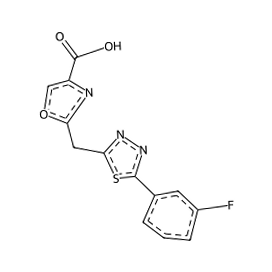 O=C(O)c1coc(Cc2nnc(-c3cccc(F)c3)s2)n1